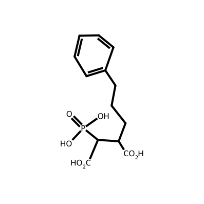 O=C(O)C(CCCc1ccccc1)C(C(=O)O)P(=O)(O)O